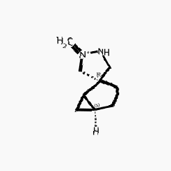 C=[N+]1C[C@@]2(CC[C@H]3CC32)CN1